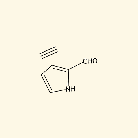 C#C.O=Cc1ccc[nH]1